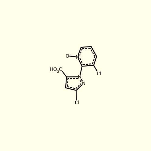 O=C(O)c1cc(Cl)nn1-c1c(Cl)ccc[n+]1[O-]